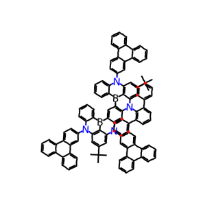 CC(C)(C)c1cc2c3c(c1)N(c1ccc4c5ccccc5c5ccccc5c4c1)c1cc4c(cc1B3c1ccccc1N2c1ccc2c3ccccc3c3ccccc3c2c1)B1c2ccccc2N(c2ccc3c5ccccc5c5ccccc5c3c2)c2cc(C(C)(C)C)cc(c21)N4c1c(-c2ccccc2)cccc1-c1ccccc1